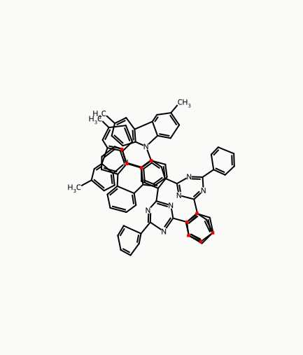 Cc1ccc2c(c1)c1cc(C)ccc1n2-c1ccc(-c2nc(-c3ccccc3)nc(-c3ccccc3)n2)cc1-c1ccccc1-c1ccccc1-c1cc(-c2nc(-c3ccccc3)nc(-c3ccccc3)n2)ccc1-n1c2ccc(C)cc2c2cc(C)ccc21